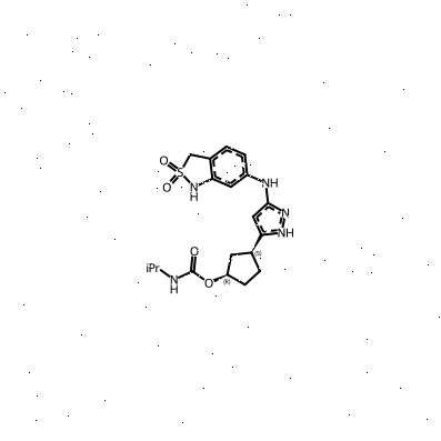 CC(C)NC(=O)O[C@@H]1CC[C@H](c2cc(Nc3ccc4c(c3)NS(=O)(=O)C4)n[nH]2)C1